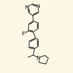 CC(c1ccc(-c2ccc(-c3cncnc3)cc2F)cc1)N1CCCC1